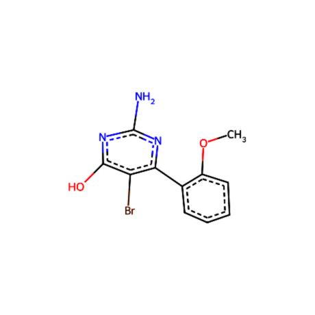 COc1ccccc1-c1nc(N)nc(O)c1Br